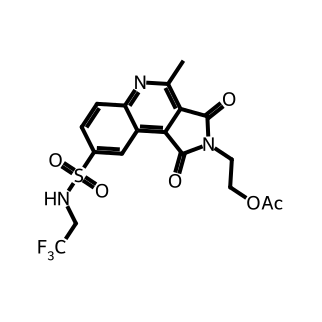 CC(=O)OCCN1C(=O)c2c(C)nc3ccc(S(=O)(=O)NCC(F)(F)F)cc3c2C1=O